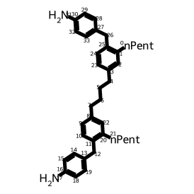 CCCCCc1cc(CCCCc2ccc(Cc3ccc(N)cc3)c(CCCCC)c2)ccc1Cc1ccc(N)cc1